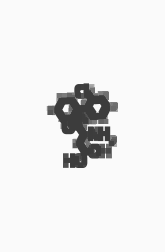 N[C@@H](CC(O)O)C1=NC2(c3ccccc3Cl)CCCC(O1)C2=O